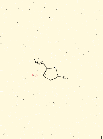 BC1CC(C)CC1C